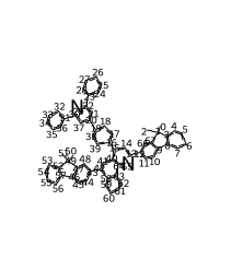 CC1(C)c2ccccc2-c2ccc(-c3cc(-c4ccc(-c5cc(-c6ccccc6)nc(-c6ccccc6)c5)cc4)c4cc(-c5ccc6c(c5)C(C)(C)c5ccccc5-6)c5ccccc5c4n3)cc21